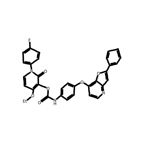 CCOc1ccn(-c2ccc(F)cc2)c(=O)c1OC(=O)Nc1ccc(Oc2ccnc3cc(-c4ccccc4)oc23)cc1